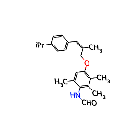 CC(=Cc1ccc(C(C)C)cc1)COc1cc(C)c(NC=O)c(C)c1C